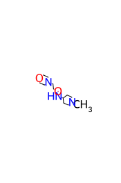 CN1CCC(NOCCN2CCOCC2)CC1